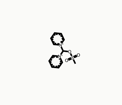 CS(=O)(=O)OC([n+]1ccccc1)[n+]1ccccc1